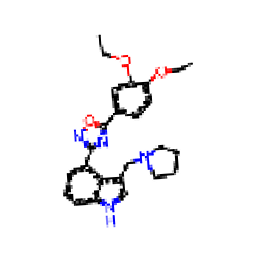 CCOc1ccc(-c2nc(-c3cccc4[nH]cc(CN5CCCC5)c34)no2)cc1OCC